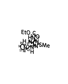 CCOC(=O)C(=O)Nc1nc(SC)nc(NCCN2CCCCC2)c1N